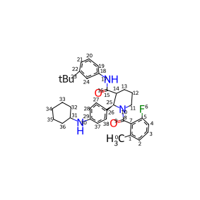 Cc1cccc(F)c1C(=O)N1CCCC(C(=O)Nc2cccc(C(C)(C)C)c2)[C@@H]1c1ccc(NC2CCCCC2)cc1